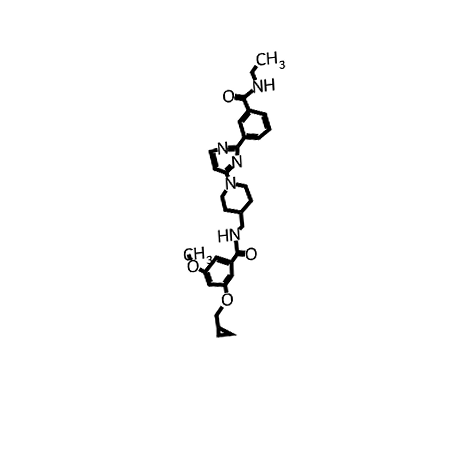 CCNC(=O)c1cccc(-c2nccc(N3CCC(CNC(=O)c4cc(OC)cc(OCC5CC5)c4)CC3)n2)c1